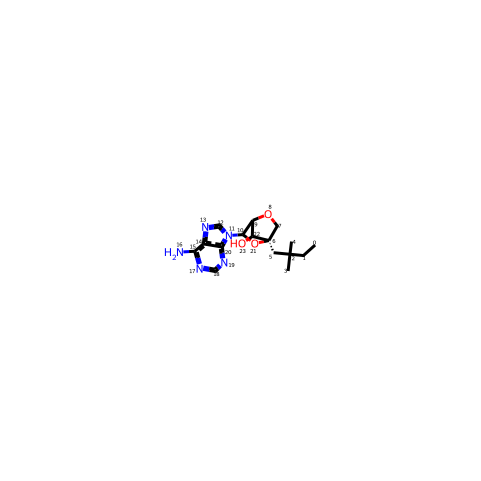 CCC(C)(C)C[C@]12COC(C(n3cnc4c(N)ncnc43)O1)C2O